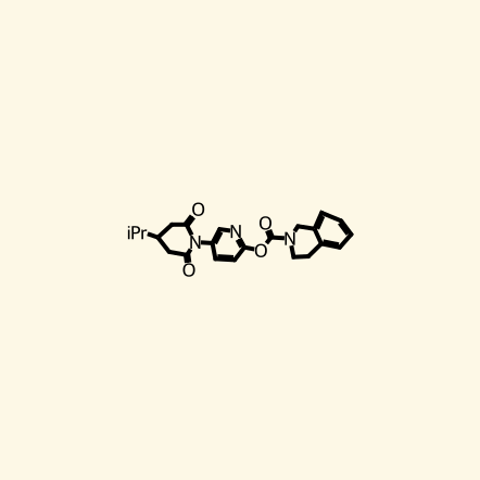 CC(C)C1CC(=O)N(c2ccc(OC(=O)N3CCc4ccccc4C3)nc2)C(=O)C1